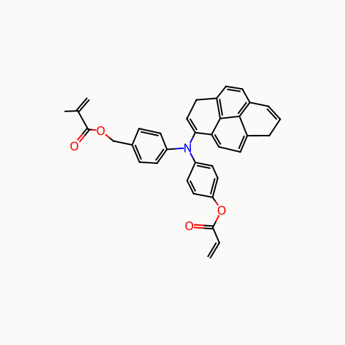 C=CC(=O)Oc1ccc(N(C2=CCc3ccc4c5c(ccc2c35)CC=C4)c2ccc(COC(=O)C(=C)C)cc2)cc1